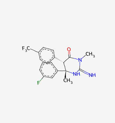 CN1C(=N)N[C@](C)(c2cccc(F)c2)[C@H](c2ccc(C(F)(F)F)cc2)C1=O